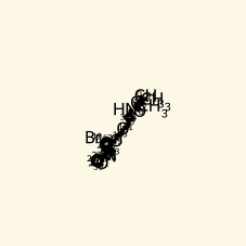 CC(C)(C)OC(=O)NC1CC(COCCOc2cc(Br)cc3c2cnn3C2CCCCO2)C1